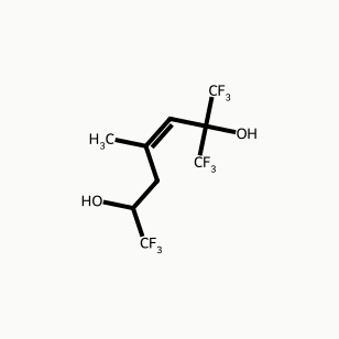 C/C(=C/C(O)(C(F)(F)F)C(F)(F)F)CC(O)C(F)(F)F